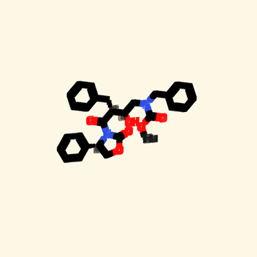 CC(C)(C)OC(=O)N(Cc1ccccc1)C[C@@H](O)[C@@H](Cc1ccccc1)C(=O)N1C(=O)OC[C@@H]1c1ccccc1